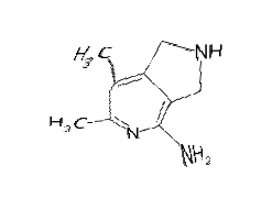 Cc1nc(N)c2c(c1C)CNC2